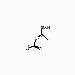 C[CH]C(=O)OC(C)S(=O)(=O)O